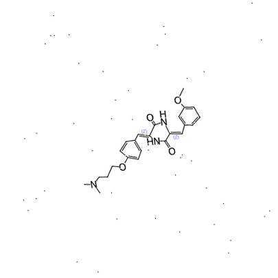 COc1cccc(/C=c2\[nH]c(=O)/c(=C/c3ccc(OCCCN(C)C)cc3)[nH]c2=O)c1